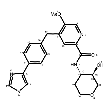 COc1cnc(C(=O)N[C@H]2CCOC[C@@H]2O)cc1Cc1ccc(-c2cscn2)cc1